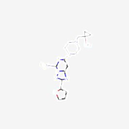 Nc1nc(N2CCN(CC3(O)CC3)CC2)cc2nc(-c3ccco3)nn12